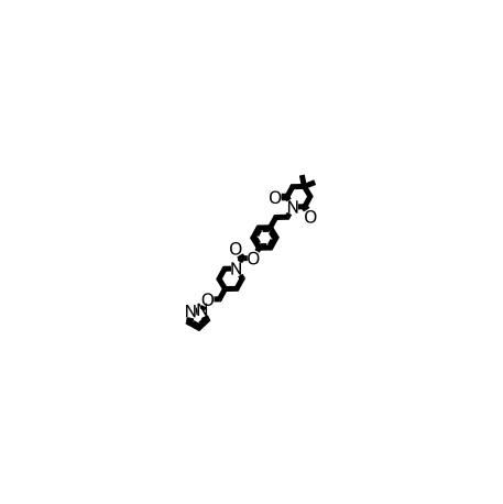 CC1(C)CC(=O)N(CCc2ccc(OC(=O)N3CCC(COn4cccn4)CC3)cc2)C(=O)C1